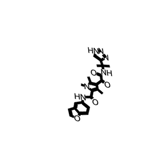 Cc1c(C(=O)C(=O)NC(C)(C)c2c[nH]nn2)c(C)n(C)c1C(=O)Nc1ccc2occc2c1